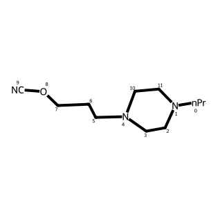 CCCN1CCN(CCCOC#N)CC1